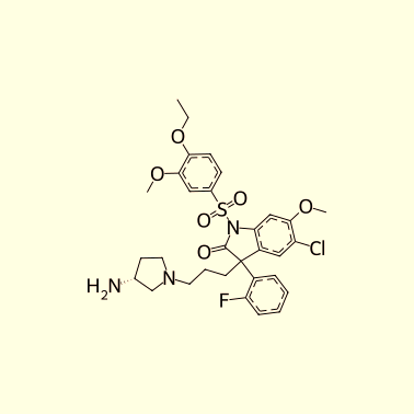 CCOc1ccc(S(=O)(=O)N2C(=O)C(CCCN3CC[C@@H](N)C3)(c3ccccc3F)c3cc(Cl)c(OC)cc32)cc1OC